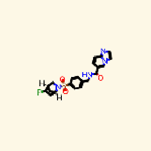 O=C(NCc1ccc(S(=O)(=O)N2C[C@H]3C[C@@H]2CC3F)cc1)c1ccc2nccn2c1